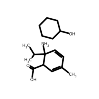 CC1=CC(C(=O)O)C(N)(C(C)C)C=C1.OC1CCCCC1